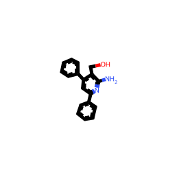 Nc1nc(-c2ccccc2)cc(-c2ccccc2)c1CO